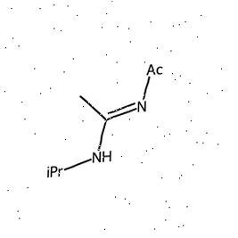 CC(=O)/N=C(\C)NC(C)C